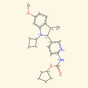 CCOc1ccc2c(c1)N(C1CCC1)C(c1ccc(NC(=O)OC3CCCC3)nc1)C2C#N